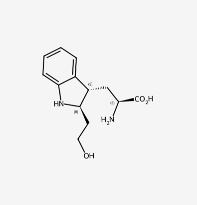 N[C@@H](C[C@H]1c2ccccc2N[C@@H]1CCO)C(=O)O